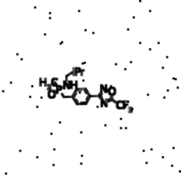 CC(C)CNP(C)(=O)Cc1ccc(-c2noc(C(F)(F)F)n2)cc1